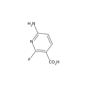 Nc1ccc(C(=O)O)c(F)n1